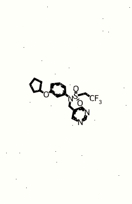 O=S(=O)(CC(F)(F)F)N(Cc1cncnc1)c1cccc(OC2CCCC2)c1